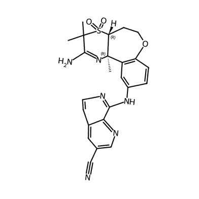 CC1(C)C(N)=N[C@]2(C)c3cc(Nc4nccc5cc(C#N)cnc45)ccc3OCC[C@H]2S1(=O)=O